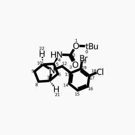 CC(C)(C)OC(=O)N[C@H]1C[C@H]2CC[C@@H]1N2Cc1cccc(Cl)c1Br